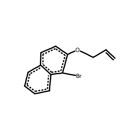 C=CCOc1ccc2ccccc2c1Br